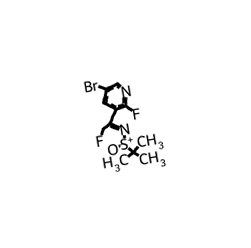 CC(C)(C)[S@@+]([O-])N=C(CF)c1cc(Br)cnc1F